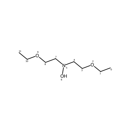 CCOCCN(O)CCOCC